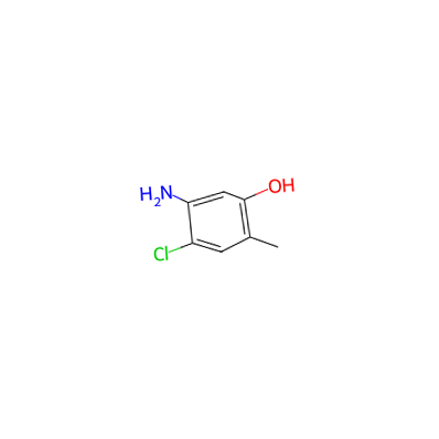 Cc1cc(Cl)c(N)cc1O